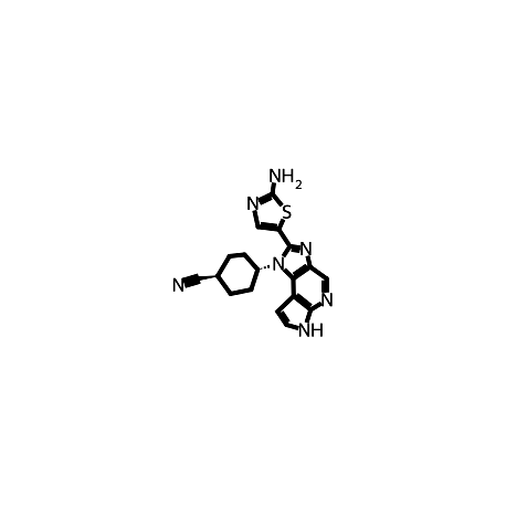 N#C[C@H]1CC[C@H](n2c(-c3cnc(N)s3)nc3cnc4[nH]ccc4c32)CC1